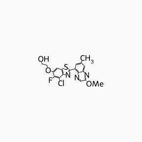 COc1cnc2c(-c3nc4c(Cl)c(F)c(OCCO)cc4s3)cc(C)cc2n1